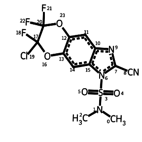 CN(C)S(=O)(=O)n1c(C#N)nc2cc3c(cc21)OC(F)(Cl)C(F)(F)O3